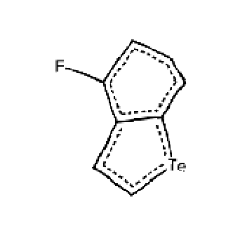 Fc1cccc2[te]ccc12